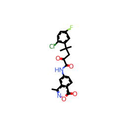 Cc1noc(=O)c2ccc(NC(=O)C(=O)CC(C)(C)c3cc(F)ccc3Cl)cc12